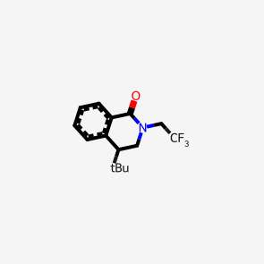 CC(C)(C)C1CN(CC(F)(F)F)C(=O)c2ccccc21